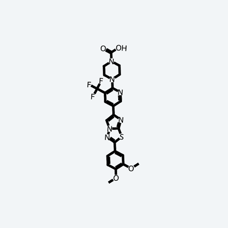 COc1ccc(-c2nn3cc(-c4cnc(N5CCN(C(=O)O)CC5)c(C(F)(F)F)c4)nc3s2)cc1OC